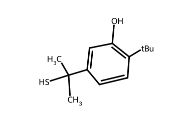 CC(C)(C)c1ccc(C(C)(C)S)cc1O